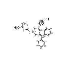 Br.Br.CN(C)CCCN1CC=C2C(=C(c3ccccc3)c3ccccc32)C1.O